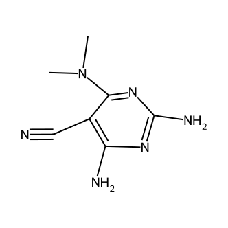 CN(C)c1nc(N)nc(N)c1C#N